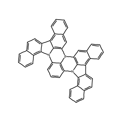 c1cc2c3c(c1)-n1c4c(cc5ccccc5c4c4ccc5ccccc5c41)B3c1cc3ccccc3c3c4ccc5ccccc5c4n-2c13